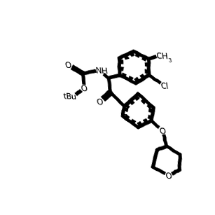 Cc1ccc(C(NC(=O)OC(C)(C)C)C(=O)c2ccc(OC3CCOCC3)cc2)cc1Cl